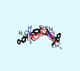 CCCOc1ccc2ccccc2c1CN(C)S(=O)(=O)N1CC(C)OC(CCOc2c(OC)ccc(C(=O)NC(C)Cc3ccc(-c4ccccc4)cc3)c2OC)C1